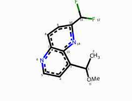 COC(C)c1ccnc2ccc(C(F)F)nc12